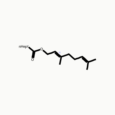 CCCCCCCC(=O)OC/C=C(\C)CCC=C(C)C